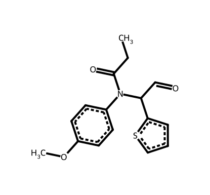 CCC(=O)N(c1ccc(OC)cc1)C(C=O)c1cccs1